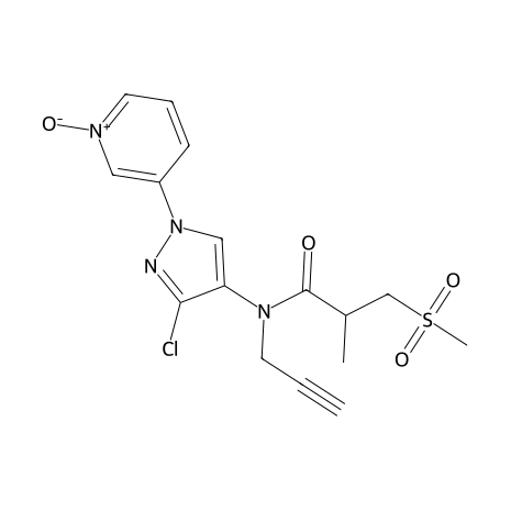 C#CCN(C(=O)C(C)CS(C)(=O)=O)c1cn(-c2ccc[n+]([O-])c2)nc1Cl